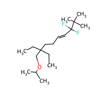 CCC(CC)(CC/C=C/C(F)(F)C(C)(C)C)COC(C)C